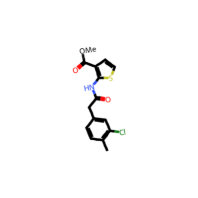 COC(=O)c1ccsc1NC(=O)Cc1ccc(C)c(Cl)c1